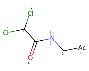 CC(=O)CNC(=O)C(Cl)Cl